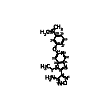 CCn1c(-c2nonc2N)nc2cnc(Oc3cccc(N(C)C)c3)cc21